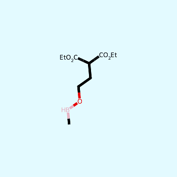 CBOCCC(C(=O)OCC)C(=O)OCC